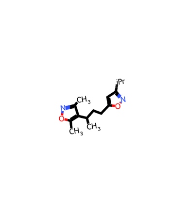 Cc1noc(C)c1C(C)CCc1cc(C(C)C)no1